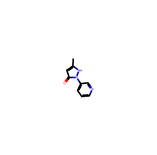 Cc1cc(=O)n(-c2cccnc2)[nH]1